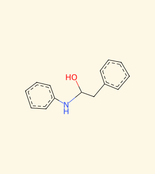 OC(Cc1ccccc1)Nc1ccccc1